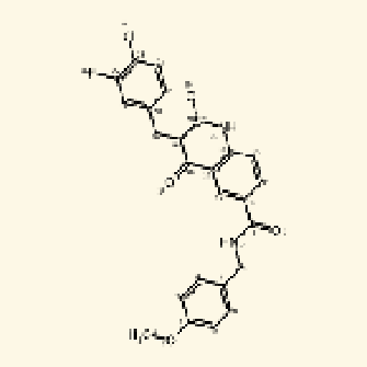 COc1ccc(CNC(=O)c2ccc3c(c2)C(=O)C(Cc2ccc(Cl)c(F)c2)[S+]([O-])N3)cc1